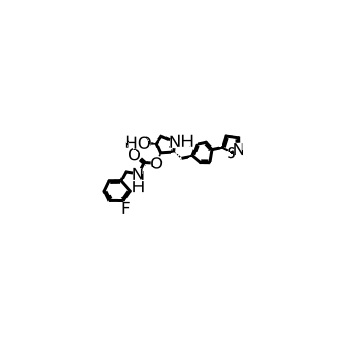 O=C(NCc1cccc(F)c1)O[C@@H]1[C@@H](O)CN[C@@H]1Cc1ccc(-c2ccns2)cc1